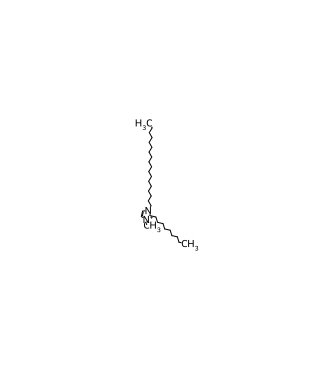 CCCCCCCCCCCCCCCCCCn1cc[n+](C)c1CCCCCCCCC